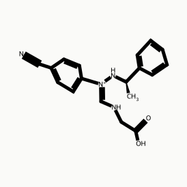 C[C@@H](N[N+](=CNCC(=O)O)c1ccc(C#N)cc1)c1ccccc1